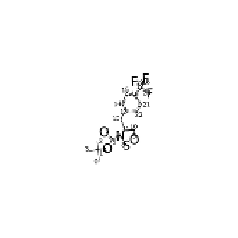 CC(C)(C)OC(=O)N1SOCC1Cc1ccc(C(F)(F)F)cc1